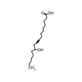 CCCCCCC(O)CC#CCCCCCCCC(=O)O